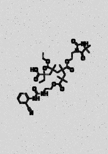 CCOC(=O)C(C)(CC(C)(CC)C(=O)O)CC(C)(CC(C)(C)C(=O)OCCNC(=O)Nc1ccccc1C#N)C(=O)OCCN1C(=O)NC(C)(C)C1=O